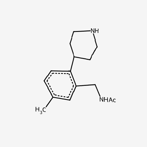 CC(=O)NCc1cc(C)ccc1C1CCNCC1